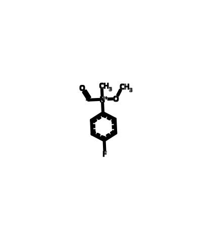 CO[N+](C)([C]=O)c1ccc(F)cc1